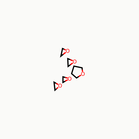 C1CCOC1.C1CO1.C1CO1.C1CO1.C1CO1